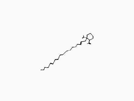 CCCCCCCCCCCCCCCC=CCC1(C(=O)O)CCCCC1C(=O)O